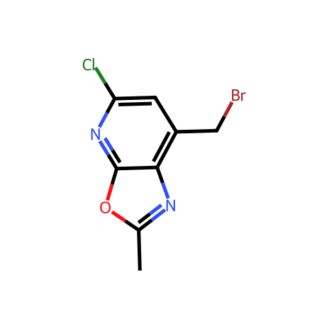 Cc1nc2c(CBr)cc(Cl)nc2o1